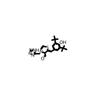 CC(C)(C)c1cc(C=C2SC=CN(Cc3nnn[nH]3)C2C=O)cc(C(C)(C)C)c1O